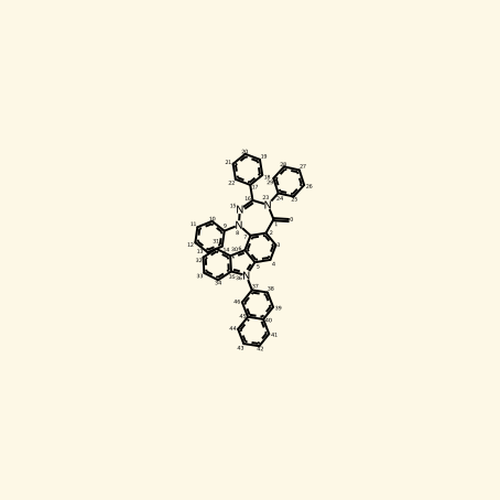 C=C1c2ccc3c(c2N(c2ccccc2)N=C(c2ccccc2)N1c1ccccc1)c1ccccc1n3-c1ccc2ccccc2c1